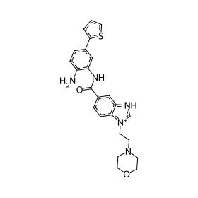 Nc1ccc(-c2cccs2)cc1NC(=O)c1ccc2c(c1)[nH]c[n+]2CCN1CCOCC1